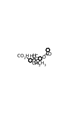 Cc1ccc(CC(=O)O)cc1NC(=O)c1c(C)cc(OC[C@H]2COc3ccccc32)cc1C